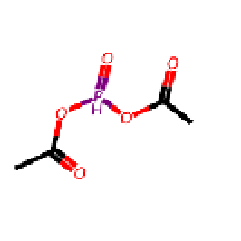 CC(=O)O[PH](=O)OC(C)=O